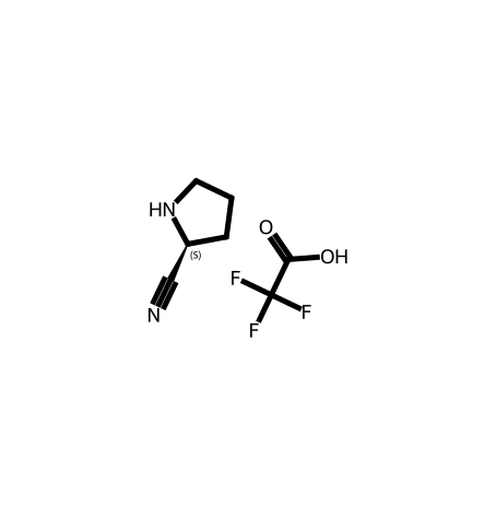 N#C[C@@H]1CCCN1.O=C(O)C(F)(F)F